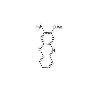 COc1cc2c(cc1N)OC1=CCC=CC1=N2